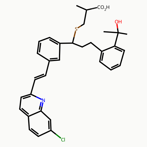 CC(CSC(CCc1ccccc1C(C)(C)O)c1cccc(C=Cc2ccc3ccc(Cl)cc3n2)c1)C(=O)O